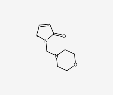 O=c1ccsn1CN1CCOCC1